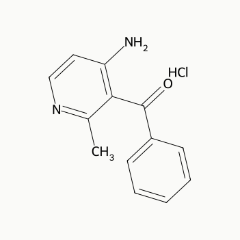 Cc1nccc(N)c1C(=O)c1ccccc1.Cl